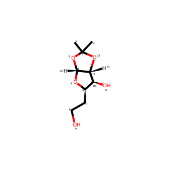 CC1(C)O[C@H]2O[C@H](CCO)[C@H](O)[C@H]2O1